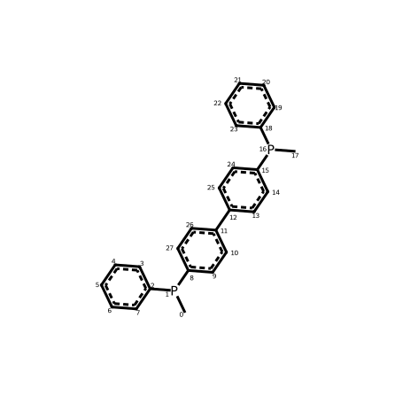 CP(c1ccccc1)c1ccc(-c2ccc(P(C)c3ccccc3)cc2)cc1